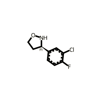 Fc1ccc([C@H]2CCON2)cc1Cl